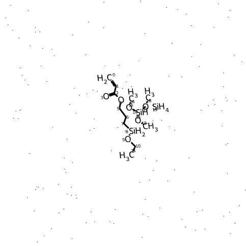 C=CC(=O)OCCC[SiH2]OCC.CO[SiH](OC)OC.[SiH4]